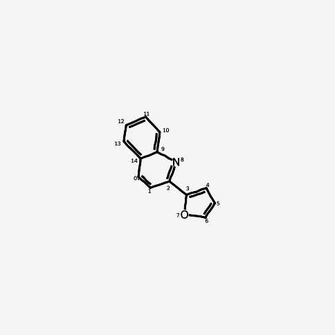 [c]1cc(-c2ccco2)nc2ccccc12